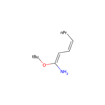 CCC/C=C\C=C(/N)OC(C)(C)C